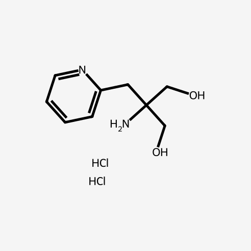 Cl.Cl.NC(CO)(CO)Cc1ccccn1